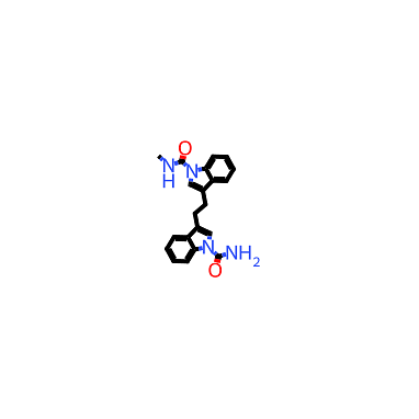 CNC(=O)n1cc(CCc2cn(C(N)=O)c3ccccc23)c2ccccc21